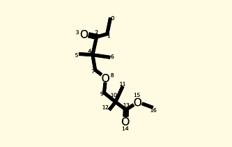 CCC(=O)C(C)(C)COCC(C)(C)C(=O)OC